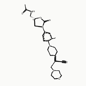 CC(=O)NC[C@H]1CN(c2ccc(N3CCC(=C(C#N)CN4CCOCC4)CC3)c(F)c2)C(=O)O1